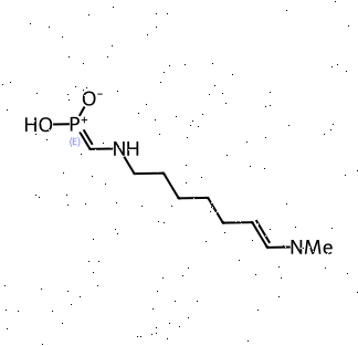 CNC=CCCCCCN/C=[P+](\[O-])O